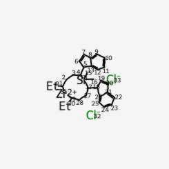 CC[CH]1CCC(C2C=Cc3ccccc32)[Si](C)(C)C(C2C=Cc3ccccc32)CC[CH](CC)[Zr+2]1.[Cl-].[Cl-]